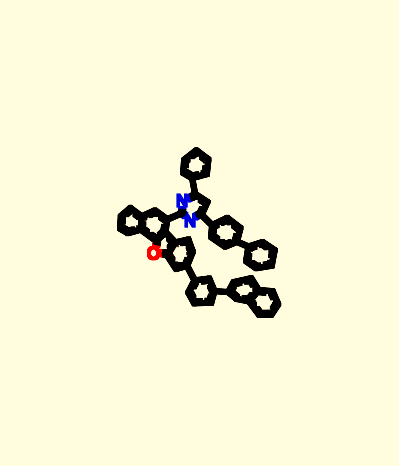 c1ccc(-c2ccc(-c3cc(-c4ccccc4)nc(-c4cc5ccccc5c5oc6cc(-c7cccc(-c8ccc9ccccc9c8)c7)ccc6c45)n3)cc2)cc1